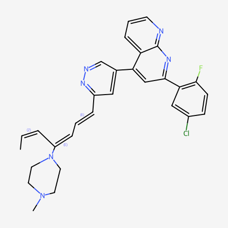 C\C=C/C(=C\C=C\c1cc(-c2cc(-c3cc(Cl)ccc3F)nc3ncccc23)cnn1)N1CCN(C)CC1